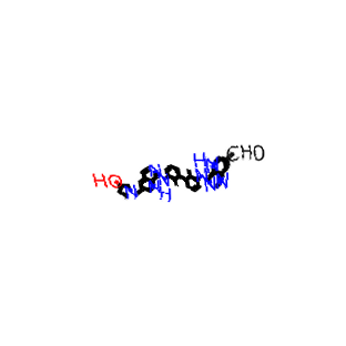 Cc1c(Nc2nccc3cc(CN4CCC(O)C4)cnc23)cccc1-c1cccc(Nc2ncnc3cc(C=O)cnc23)c1C